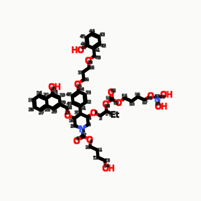 CCC(COC1CN(C(=O)OCCCCO)CC(OCc2cc(O)c3ccccc3c2)C1c1ccc(OCCCOCc2ccccc2O)cc1)OC(=O)OCCCCON(O)O